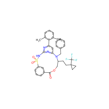 Cc1cccc(C)c1-c1cc2nc(n1)NS(=O)(=O)c1cccc(c1)C(=O)OCC(CCC1(C(F)(F)F)CC1)N2Cc1ccccc1